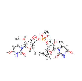 CO[C@@H]1[C@@H]2OP(=O)(OC)OC[C@@]3(CCC[C@H](C)[C@H]2O[C@H]1n1ccc(=O)[nH]c1=O)O[C@@H](n1ccc(=O)[nH]c1=O)[C@H](OC)[C@@H]3O